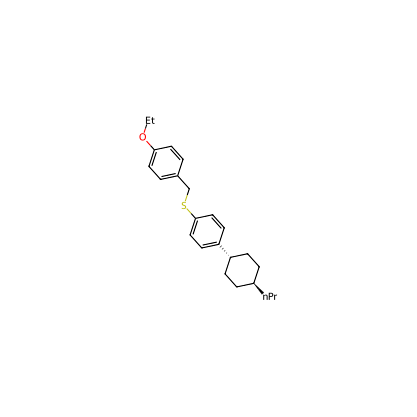 CCC[C@H]1CC[C@H](c2ccc(SCc3ccc(OCC)cc3)cc2)CC1